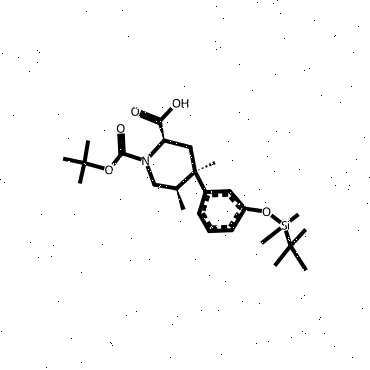 C[C@H]1CN(C(=O)OC(C)(C)C)[C@@H](C(=O)O)C[C@@]1(C)c1cccc(O[Si](C)(C)C(C)(C)C)c1